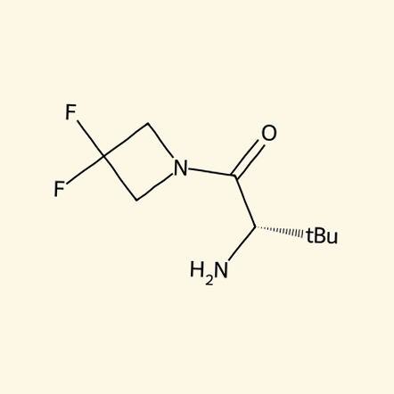 CC(C)(C)[C@H](N)C(=O)N1CC(F)(F)C1